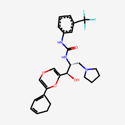 O=C(Nc1cccc(C(F)(F)F)c1)N[C@H](CN1CCCC1)[C@@H](O)C1=COC=C(C2=CC=CCC2)O1